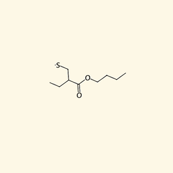 CCCCOC(=O)C(CC)C[S]